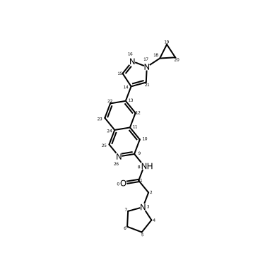 O=C(CN1CCCC1)Nc1cc2cc(-c3cnn(C4CC4)c3)ccc2cn1